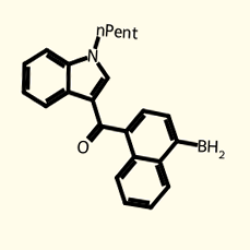 Bc1ccc(C(=O)c2cn(CCCCC)c3ccccc23)c2ccccc12